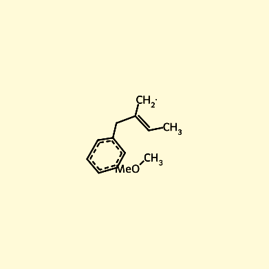 COC.[CH2]C(=CC)Cc1ccccc1